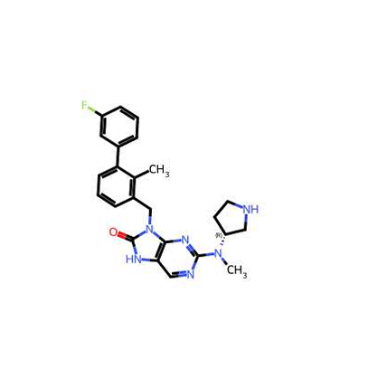 Cc1c(Cn2c(=O)[nH]c3cnc(N(C)[C@@H]4CCNC4)nc32)cccc1-c1cccc(F)c1